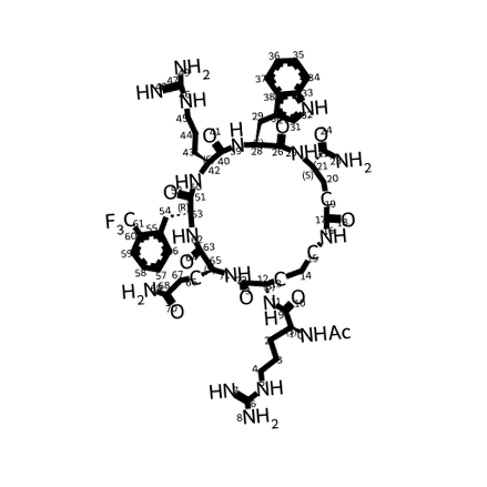 CC(=O)N[C@@H](CCCNC(=N)N)C(=O)N[C@H]1CCCNC(=O)CC[C@@H](C(N)=O)NC(=O)[C@H](Cc2c[nH]c3ccccc23)NC(=O)[C@H](CCCNC(=N)N)NC(=O)[C@@H](Cc2ccccc2C(F)(F)F)NC(=O)[C@H](CCC(N)=O)NC1=O